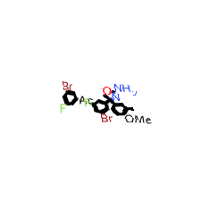 CC(=O)c1cc(F)cc(Br)c1.COc1ccc(C2(c3cc(F)cc(Br)c3)COC(N)=N2)cc1C